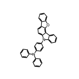 c1ccc(N(c2ccccc2)c2ccc(-n3c4ccccc4c4c5oc6ccccc6c5ccc43)cc2)cc1